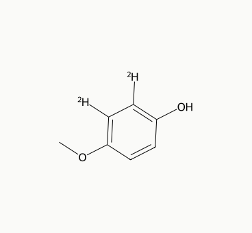 [2H]c1c(O)ccc(OC)c1[2H]